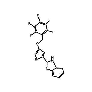 Fc1c(F)c(F)c(COc2cc(-c3nc4ccccc4[nH]3)[nH]n2)c(F)c1F